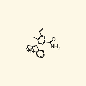 C=Cc1cc(C(N)=O)ccc1C.c1ccc2c(c1)C1CCN3CC1N23